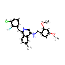 COc1ccc(CNc2cnc(Cc3cccc(Cl)c3F)c3ccc(C)cc23)c(OC)c1